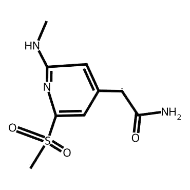 CNc1cc([CH]C(N)=O)cc(S(C)(=O)=O)n1